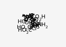 Nc1nc(/C(=N/O[C@@H](CC(=O)O)C(=O)O)C(=O)N[C@@H]2C(=O)N3C(C(=O)O)=C(C[N+]4(Cc5cn(C6CC6)c6cc(O)c(O)cc6c5=O)CCCC4)CS[C@H]23)c(Cl)s1